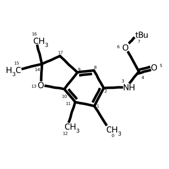 Cc1c(NC(=O)OC(C)(C)C)cc2c(c1C)OC(C)(C)C2